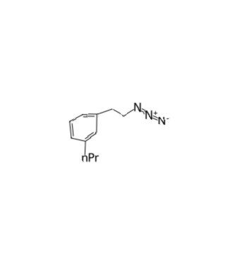 CCCc1cccc(CCN=[N+]=[N-])c1